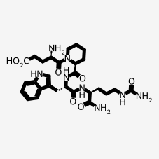 NC(=O)NCCC[C@H](NC(=O)[C@H](Cc1c[nH]c2ccccc12)NC(=O)[C@@H]1CCCCN1C(=O)[C@@H](N)CCC(=O)O)C(N)=O